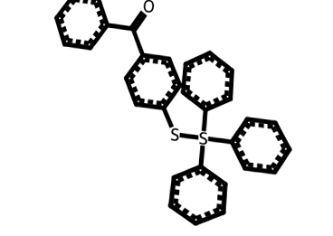 O=C(c1ccccc1)c1ccc(SS(c2ccccc2)(c2ccccc2)c2ccccc2)cc1